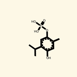 Cc1cc(O)c(C(C)C)cc1OP(=O)(O)O